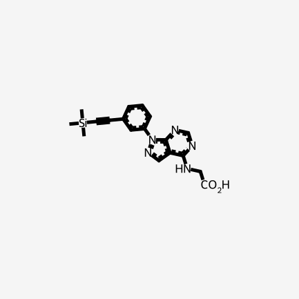 C[Si](C)(C)C#Cc1cccc(-n2ncc3c(NCC(=O)O)ncnc32)c1